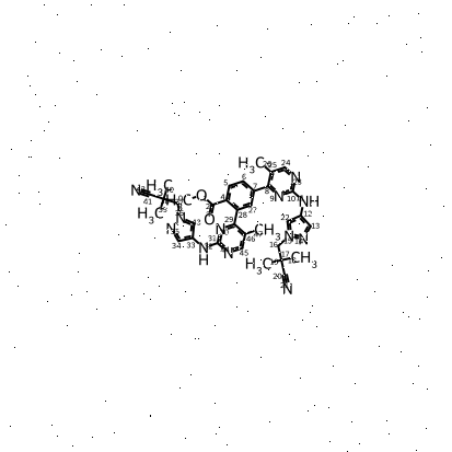 COC(=O)c1ccc(-c2nc(Nc3cnn(CC(C)(C)C#N)c3)ncc2C)cc1-c1nc(Nc2cnn(CC(C)(C)C#N)c2)ncc1C